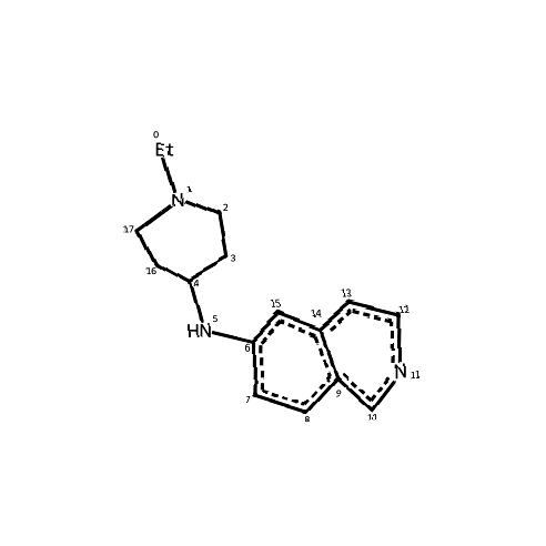 CCN1CCC(Nc2ccc3cnccc3c2)CC1